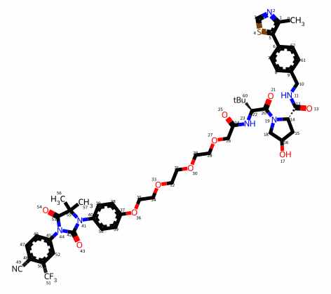 Cc1ncsc1-c1ccc(CNC(=O)[C@@H]2CC(O)CN2C(=O)[C@@H](NC(=O)COCCOCCOCCOc2ccc(N3C(=O)N(c4ccc(C#N)c(C(F)(F)F)c4)C(=O)C3(C)C)cc2)C(C)(C)C)cc1